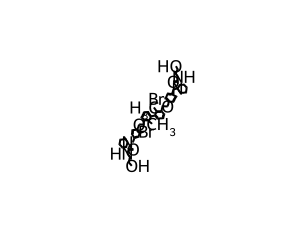 Cc1c(COc2ccc(CN3CCCC[C@H]3C(=O)NCCO)cc2Br)cccc1-c1cccc(COc2ccc(CN3CCCC[C@H]3C(=O)NCCO)cc2Br)c1C